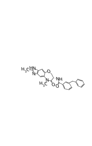 Cc1nc2cc3c(cc2[nH]1)OC[C@H](NC(=O)c1cccc(Cc2ccccc2)c1)C(=O)N3C